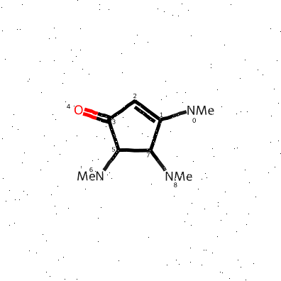 CNC1=CC(=O)C(NC)C1NC